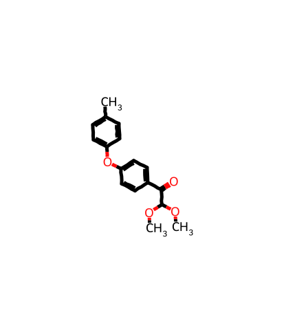 COC(OC)C(=O)c1ccc(Oc2ccc(C)cc2)cc1